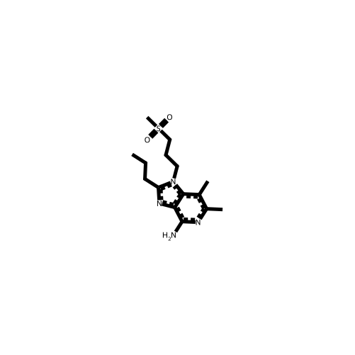 CCCc1nc2c(N)nc(C)c(C)c2n1CCCS(C)(=O)=O